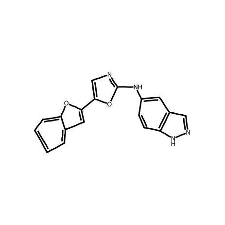 c1ccc2oc(-c3cnc(Nc4ccc5[nH]ncc5c4)o3)cc2c1